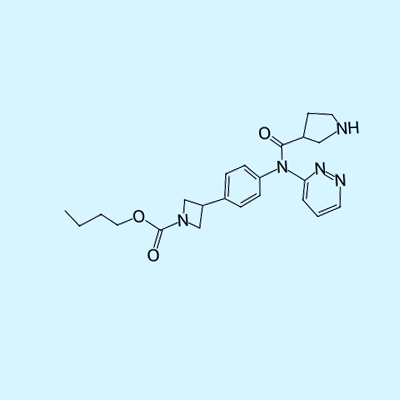 CCCCOC(=O)N1CC(c2ccc(N(C(=O)C3CCNC3)c3cccnn3)cc2)C1